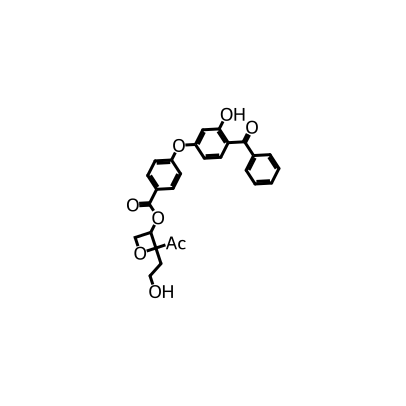 CC(=O)C1(CCO)OCC1OC(=O)c1ccc(Oc2ccc(C(=O)c3ccccc3)c(O)c2)cc1